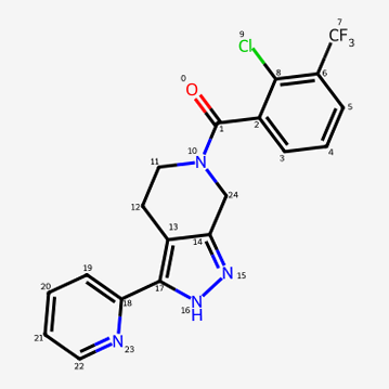 O=C(c1cccc(C(F)(F)F)c1Cl)N1CCc2c(n[nH]c2-c2ccccn2)C1